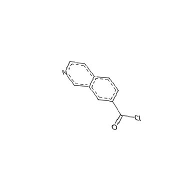 O=C(Cl)c1ccc2ccncc2c1